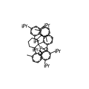 Cc1cccc(C)c1C1CCCC(c2c(C)cccc2C)C1(c1c(-c2c(C(C)C)cc(C(C)C)cc2C(C)C)cccc1-c1c(C(C)C)cc(C(C)C)cc1C(C)C)P(=O)=O